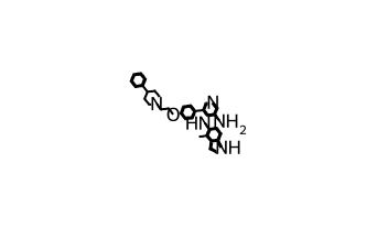 Cc1c(Nc2c(N)cncc2-c2ccc(OCCN3CCC(c4ccccc4)CC3)cc2)ccc2[nH]ccc12